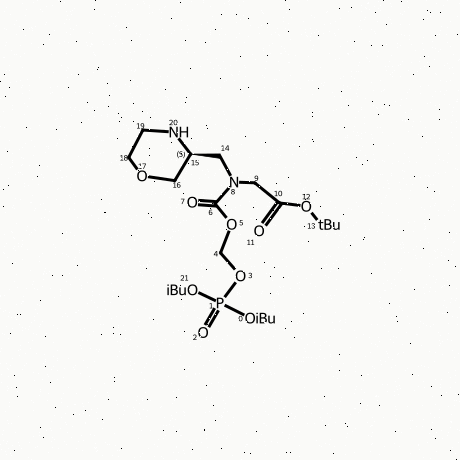 CC(C)COP(=O)(OCOC(=O)N(CC(=O)OC(C)(C)C)C[C@H]1COCCN1)OCC(C)C